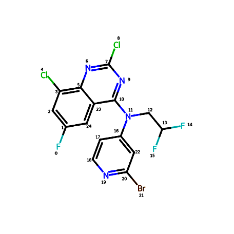 Fc1cc(Cl)c2nc(Cl)nc(N(CC(F)F)c3ccnc(Br)c3)c2c1